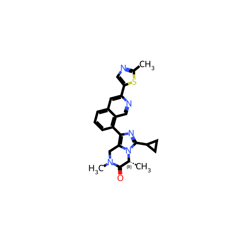 Cc1ncc(-c2cc3cccc(-c4nc(C5CC5)n5c4CN(C)C(=O)[C@H]5C)c3cn2)s1